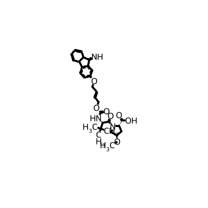 CO[C@@H]1C[C@@H](C(=O)O)N(C(=O)[C@@H](NC(=O)OCC=CCOc2ccc3c(c2)C(=N)C2C=CC=CC32)C(C)(C)C)C1